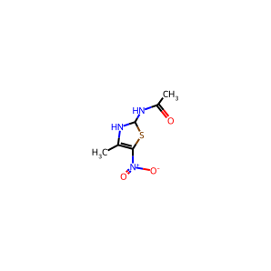 CC(=O)NC1NC(C)=C([N+](=O)[O-])S1